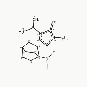 CC(C)n1ccn(C)[c]1=[Pt].IN(I)C12CCC(CC1)CC2